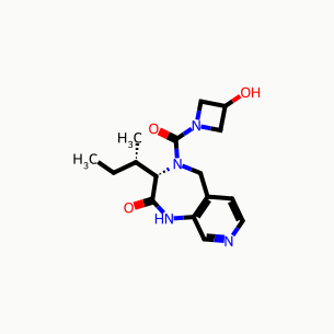 CC[C@H](C)[C@H]1C(=O)Nc2cnccc2CN1C(=O)N1CC(O)C1